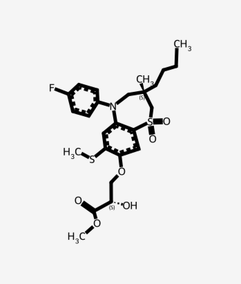 CCCC[C@@]1(C)CN(c2ccc(F)cc2)c2cc(SC)c(OC[C@H](O)C(=O)OC)cc2S(=O)(=O)C1